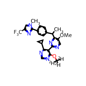 [2H]C([2H])([2H])Oc1ncnc(C2CC2)c1-c1ncc(OC)c(C(C)c2ccc(-c3nc(C(F)(F)F)cn3C)cc2)n1